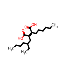 CCCCCC/C(C(=O)O)=C(\CC(CC)CCCC)C(=O)O